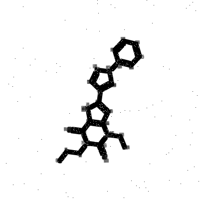 CCCn1c(=O)c2[nH]c(-c3cnn(-c4ccccc4)c3)cc2n(CC)c1=O